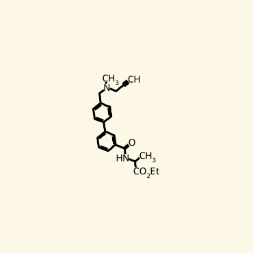 C#CCN(C)Cc1ccc(-c2cccc(C(=O)NC(C)C(=O)OCC)c2)cc1